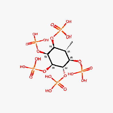 C[C@@H]1[C@@H](OP(=O)(O)O)[C@H](OP(=O)(O)O)[C@@H](OP(=O)(O)O)[C@@H](OP(=O)(O)O)[C@H]1OP(=O)(O)O